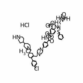 CC1(CN2CCC(C3CCNCC3)CC2)CCC(c2ccc(Cl)cc2)=C(CN2CCN(c3ccc(C(=O)NS(=O)(=O)c4ccc(N[C@H](CCN5C[C@H]6C[C@@H]5CO6)CSc5ccccc5)c([N+](=O)[O-])c4)cc3)CC2)C1.Cl